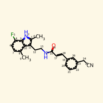 Cc1[nH]c2c(F)ccc(C)c2c1CCNC(=O)/C=C/c1cccc(CC#N)c1